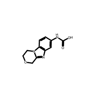 O=C(O)Nc1ccc2c(c1)nc1n2CCOC1